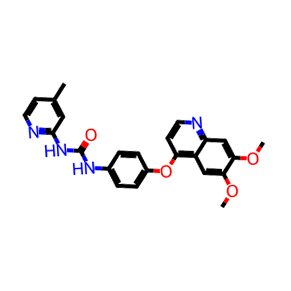 COc1cc2nccc(Oc3ccc(NC(=O)Nc4cc(C)ccn4)cc3)c2cc1OC